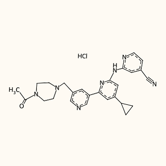 CC(=O)N1CCN(Cc2cncc(-c3cc(C4CC4)cc(Nc4cc(C#N)ccn4)n3)c2)CC1.Cl